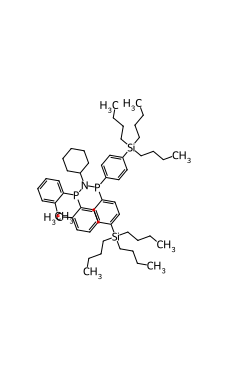 CCCC[Si](CCCC)(CCCC)c1ccc(P(c2ccc([Si](CCCC)(CCCC)CCCC)cc2)N(C2CCCCC2)P(c2ccccc2C)c2ccccc2C)cc1